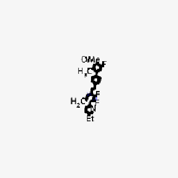 C=C/C=C(CCc1ccc(-c2cc(F)c(OC)cc2C)cc1)\C(F)=C(\F)Cc1ccc(CC)cn1